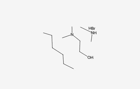 Br.CCCCCC.CN(C)CCO.CNC